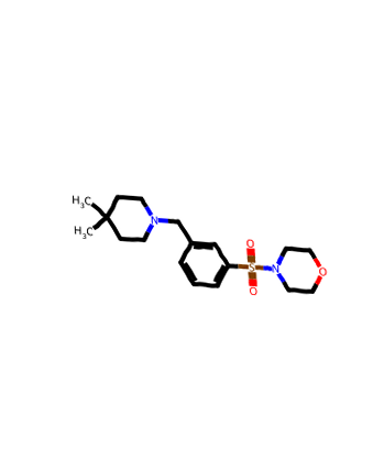 CC1(C)CCN(Cc2cccc(S(=O)(=O)N3CCOCC3)c2)CC1